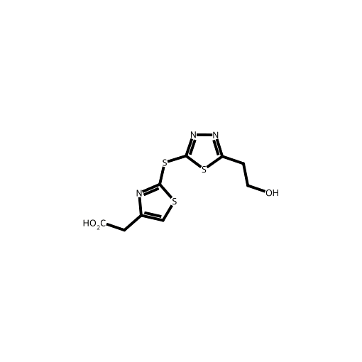 O=C(O)Cc1csc(Sc2nnc(CCO)s2)n1